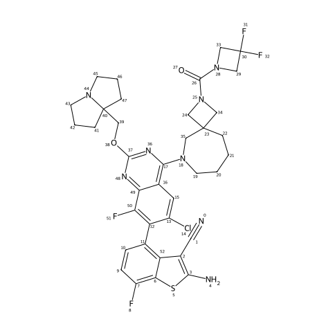 N#Cc1c(N)sc2c(F)ccc(-c3c(Cl)cc4c(N5CCCCC6(CN(C(=O)N7CC(F)(F)C7)C6)C5)nc(OCC56CCCN5CCC6)nc4c3F)c12